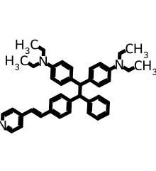 CCN(CC)c1ccc(C(c2ccc(N(CC)CC)cc2)C(c2ccccc2)c2ccc(C=Cc3ccncc3)cc2)cc1